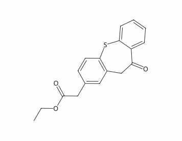 CCOC(=O)Cc1ccc2c(c1)CC(=O)c1ccccc1S2